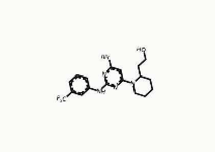 CCCc1cc(N2CCCCC2CCO)nc(Nc2cccc(C(F)(F)F)c2)n1